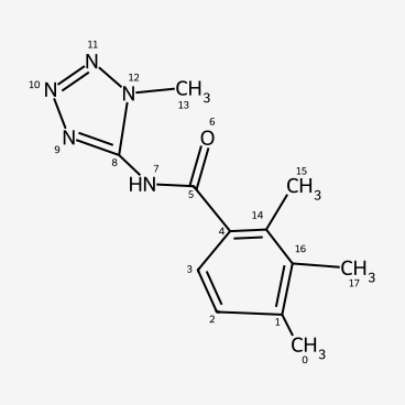 Cc1ccc(C(=O)Nc2nnnn2C)c(C)c1C